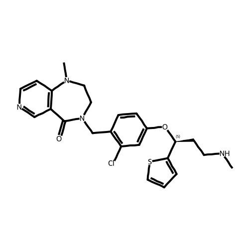 CNCC[C@H](Oc1ccc(CN2CCN(C)c3ccncc3C2=O)c(Cl)c1)c1cccs1